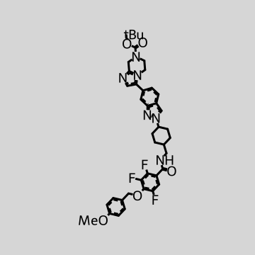 COc1ccc(COc2c(F)cc(C(=O)NCC3CCC(n4cc5ccc(-c6cnc7n6CCN(C(=O)OC(C)(C)C)C7)cc5n4)CC3)c(F)c2F)cc1